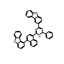 c1ccc(C2N=C(c3ccc4sc5ccccc5c4c3)N=C(c3ccc(-c4cccc5oc6ccccc6c45)c4ccccc34)N2)cc1